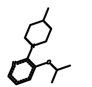 CC1CCN(c2ncccc2OC(C)C)CC1